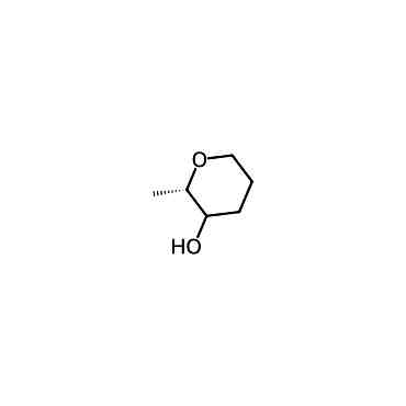 C[C@@H]1OCCCC1O